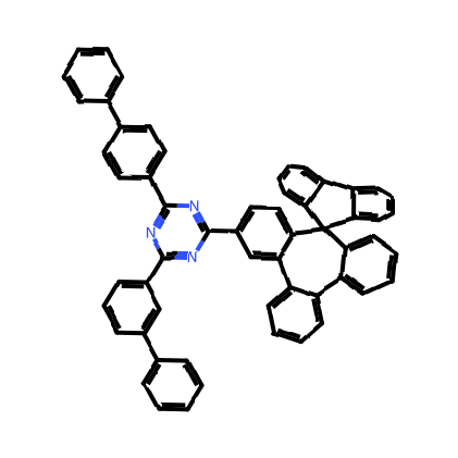 c1ccc(-c2ccc(-c3nc(-c4cccc(-c5ccccc5)c4)nc(-c4ccc5c(c4)-c4ccccc4-c4ccccc4C54c5ccccc5-c5ccccc54)n3)cc2)cc1